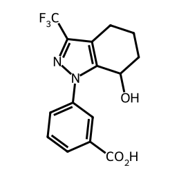 O=C(O)c1cccc(-n2nc(C(F)(F)F)c3c2C(O)CCC3)c1